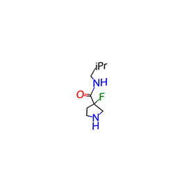 CC(C)CNC(=O)C1(F)CCNC1